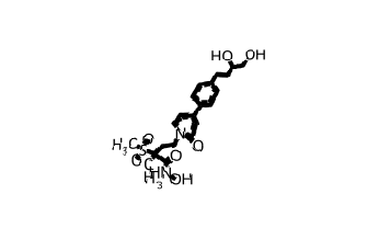 CC(CCn1ccc(-c2ccc(C=CC(O)CO)cc2)cc1=O)(C(=O)NO)S(C)(=O)=O